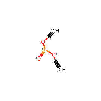 C#CO[PH](=O)OC#C